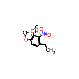 [CH2]Cc1ccc(OC)c(OC)c1[N+](=O)[O-]